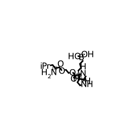 CC(C)C[C@H](N)C(=O)OCCOC(=O)[C@]1(CCCCB(O)O)NC[C@@H]2NCC[C@@H]21